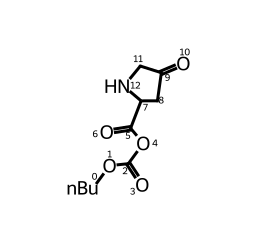 CCCCOC(=O)OC(=O)C1CC(=O)CN1